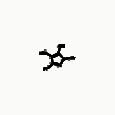 CCCCc1c(C(C)C)nn(C(C)C)c1O